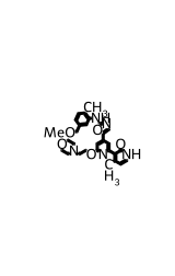 COCc1ccc(C)c(Nc2ncc(-c3cc(OCCN4CCOCC4)nc(-c4c(C)cc[nH]c4=O)c3)o2)c1